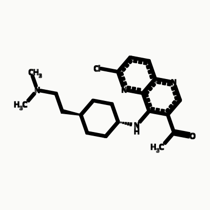 CC(=O)c1cnc2ccc(Cl)nc2c1N[C@H]1CC[C@H](CCN(C)C)CC1